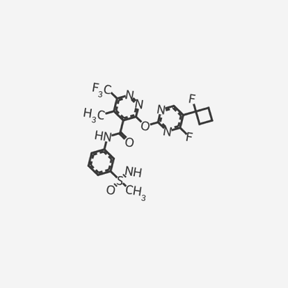 Cc1c(C(F)(F)F)nnc(Oc2ncc(C3(F)CCC3)c(F)n2)c1C(=O)Nc1cccc(S(C)(=N)=O)c1